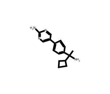 CC(N)(c1ccc(-c2cnc(N)nc2)cc1)C1CCC1